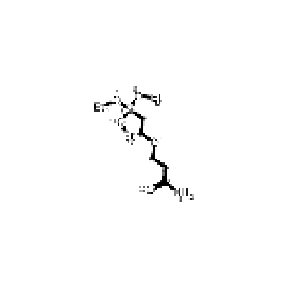 CCO[Si](CCOCCC(N)=O)(OCC)OCC